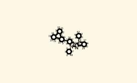 c1ccc(-n2c3cc(-c4ccc5c6ccccc6c6ccccc6c5c4)ccc3n3c2nc2c4ccccc4n(-c4ccccc4)c23)cc1